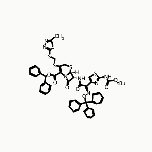 Cc1nnc(SCSC2=C(C(=O)OC(c3ccccc3)c3ccccc3)N3C(=O)[C@@H](NC(=O)/C(=N\OC(c4ccccc4)(c4ccccc4)c4ccccc4)c4csc(NC(=O)OC(C)(C)C)n4)[C@H]3SC2)s1